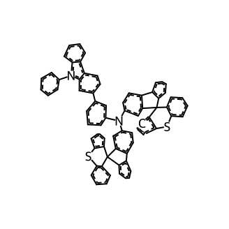 c1ccc(-n2c3ccccc3c3ccc(-c4cccc(N(c5ccc6c(c5)C5(c7ccccc7Sc7ccccc75)c5ccccc5-6)c5ccc6c(c5)C5(c7ccccc7Sc7ccccc75)c5ccccc5-6)c4)cc32)cc1